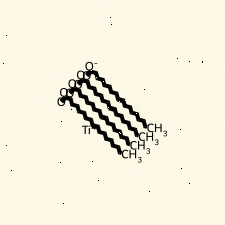 CCCCCCCCC=CCCCCCCCC(=O)[O-].CCCCCCCCC=CCCCCCCCC(=O)[O-].CCCCCCCCC=CCCCCCCCC(=O)[O-].CCCCCCCCC=CCCCCCCCC(=O)[O-].[Ti+4]